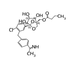 CCCC(=O)OC[C@@]12CO[C@@](c3ccc(Cl)c(Cc4ccc(C(C)=N)cc4)c3)(O1)[C@H](O)[C@@H](O)[C@@H]2O